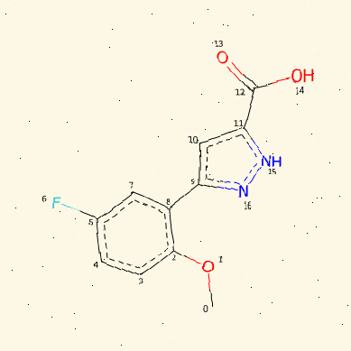 COc1ccc(F)cc1-c1cc(C(=O)O)[nH]n1